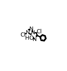 ON=C(c1ccccc1)C(Cl)N1CN(Cl)C=N1